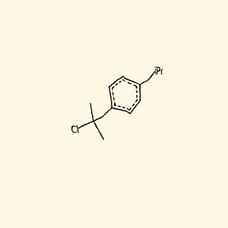 CC(C)c1ccc(C(C)(C)Cl)cc1